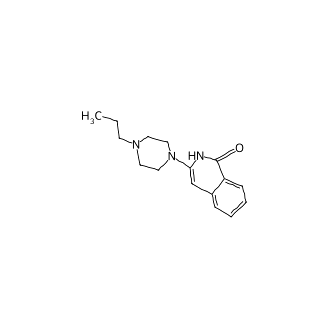 CCCN1CCN(c2cc3ccccc3c(=O)[nH]2)CC1